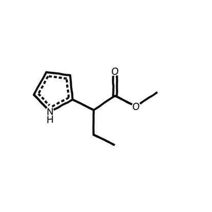 CCC(C(=O)OC)c1ccc[nH]1